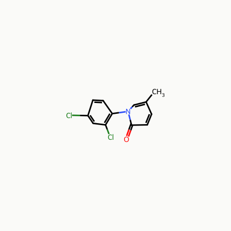 Cc1ccc(=O)n(-c2ccc(Cl)cc2Cl)c1